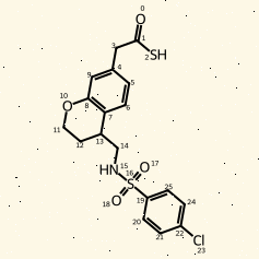 O=C(S)Cc1ccc2c(c1)OCCC2CNS(=O)(=O)c1ccc(Cl)cc1